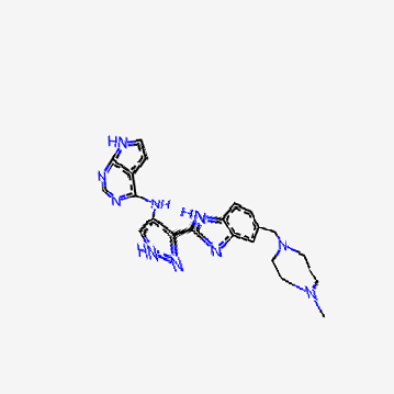 CN1CCN(Cc2ccc3[nH]c(-c4n[nH]cc4Nc4ncnc5[nH]ccc45)nc3c2)CC1